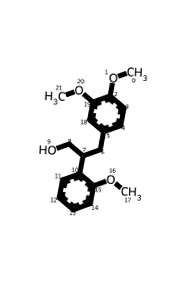 COc1ccc(CC(CO)c2ccccc2OC)cc1OC